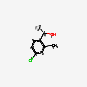 Cc1cc(Cl)ccc1[C@@H](O)C(F)(F)F